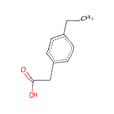 C[CH]c1ccc(CC(=O)O)cc1